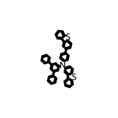 c1ccc(-c2cc(-c3ccccc3)cc(N(c3ccc(-c4ccc5sc6ccccc6c5c4)cc3)c3ccc4sc5ccccc5c4c3)c2)cc1